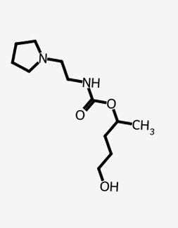 CC(CCCO)OC(=O)NCCN1CCCC1